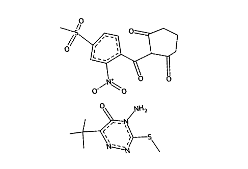 CS(=O)(=O)c1ccc(C(=O)C2C(=O)CCCC2=O)c([N+](=O)[O-])c1.CSc1nnc(C(C)(C)C)c(=O)n1N